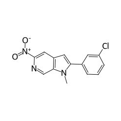 Cn1c(-c2cccc(Cl)c2)cc2cc([N+](=O)[O-])ncc21